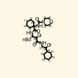 CCCC[C@H](NC(=O)C1(NC(=O)N2CCOCC2)CCCCC1)C(=O)C(=O)NCC(=O)C1CCCCC1